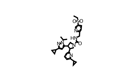 CCS(=O)(=O)c1ccc(CNC(=O)N2CC(c3cccc(C4CC4)n3)C(c3cc(C4CC4)nn3C(C)C)C2)nc1